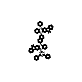 CC1(C)c2ccccc2-c2cc3c(cc21)N(c1ccc2cc(N4c5ccccc5N(c5nc(-c6ccccc6)nc(-c6ccccc6)n5)c5cc6c(cc54)C(C)(C)c4ccccc4-6)ccc2c1)c1ccccc1N3c1ccccc1